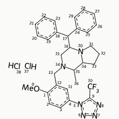 COc1ccc(-n2nnnc2C(F)(F)F)cc1CN1CC(C(c2ccccc2)c2ccccc2)N2CCCC2C1C.Cl.Cl